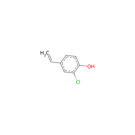 C=Cc1ccc(O)c(Cl)c1